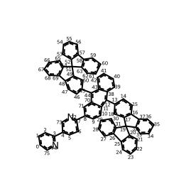 c1ccc(-c2ccc(-c3ccc4c(-c5ccc6c(c5)C5(c7ccccc7-c7ccccc75)c5ccccc5-6)c5ccccc5c(-c5ccc6c(c5)C5(c7ccccc7-c7ccccc75)c5ccccc5-6)c4c3)nc2)nc1